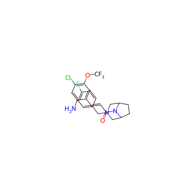 Nc1cc(Cl)c(OC(F)(F)F)cc1C=CC(=O)N1C2CCC1CN(Cc1ccc(F)cc1)C2